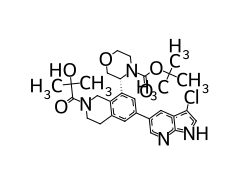 CC(C)(C)OC(=O)N1CCOC[C@H]1c1cc(-c2cnc3[nH]cc(Cl)c3c2)cc2c1CN(C(=O)C(C)(C)O)CC2